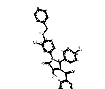 O=C(C1=C(O)C(=O)N(c2ccc(OCc3ccccc3)c(Cl)c2)C1c1ccc(Cl)cc1)c1ccccc1